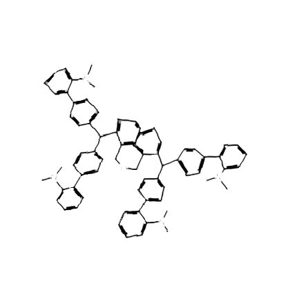 CN(C)c1ccccc1-c1ccc(C(c2ccc(-c3ccccc3N(C)C)cc2)c2ccccc2COCc2ccccc2C(c2ccc(-c3ccccc3N(C)C)cc2)c2ccc(-c3ccccc3N(C)C)cc2)cc1